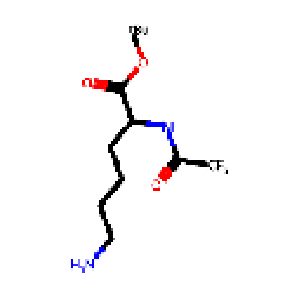 CC(C)(C)OC(=O)C(CCCCN)NC(=O)C(F)(F)F